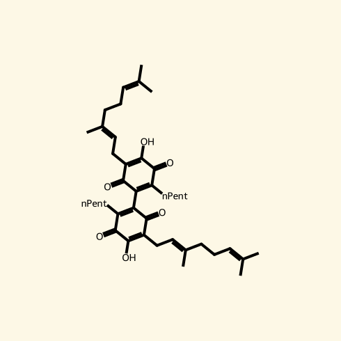 CCCCCC1=C(C2=C(CCCCC)C(=O)C(O)=C(C/C=C(\C)CCC=C(C)C)C2=O)C(=O)C(C/C=C(\C)CCC=C(C)C)=C(O)C1=O